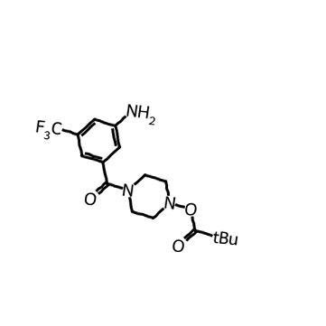 CC(C)(C)C(=O)ON1CCN(C(=O)c2cc(N)cc(C(F)(F)F)c2)CC1